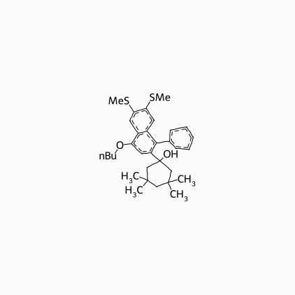 CCCCOc1cc(C2(O)CC(C)(C)CC(C)(C)C2)c(-c2ccccc2)c2cc(SC)c(SC)cc12